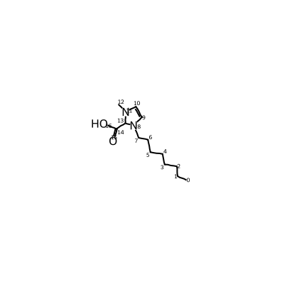 CCCCCCCCN1C=CN(C)C1C(=O)O